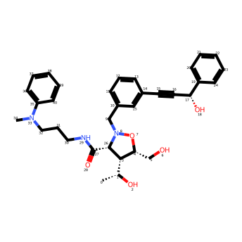 C[C@@H](O)[C@H]1[C@@H](CO)ON(Cc2cccc(C#C[C@@H](O)c3ccccc3)c2)[C@H]1C(=O)NCCCN(C)c1ccccc1